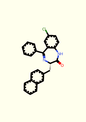 O=C1Nc2ccc(Cl)cc2C(c2ccccc2)=N[C@H]1Cc1ccc2ccccc2c1